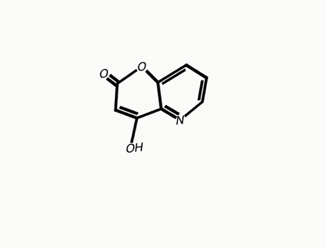 O=c1cc(O)c2ncccc2o1